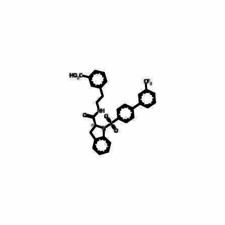 O=C(O)c1cccc(CCNC(=O)[C@@H]2Cc3ccccc3N2S(=O)(=O)c2ccc(-c3cccc(C(F)(F)F)c3)cc2)c1